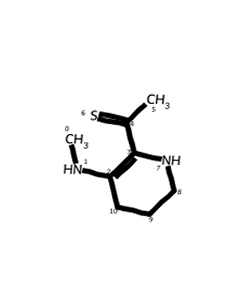 CNC1=C(C(C)=S)NCCC1